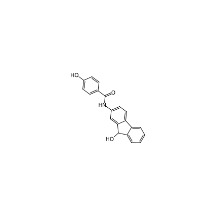 O=C(Nc1ccc2c(c1)C(O)c1ccccc1-2)c1ccc(O)cc1